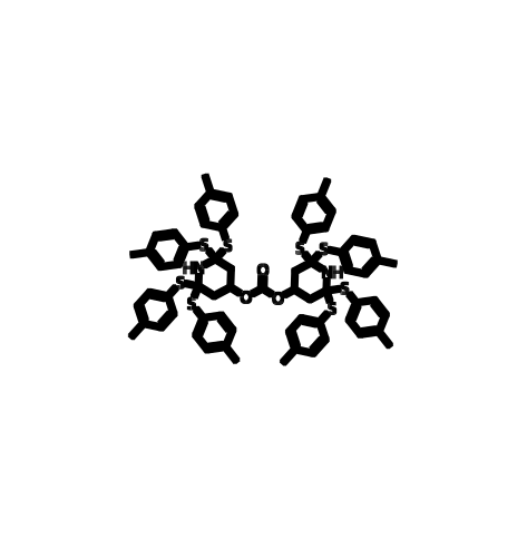 Cc1ccc(SC2(Sc3ccc(C)cc3)CC(OC(=O)OC3CC(Sc4ccc(C)cc4)(Sc4ccc(C)cc4)NC(Sc4ccc(C)cc4)(Sc4ccc(C)cc4)C3)CC(Sc3ccc(C)cc3)(Sc3ccc(C)cc3)N2)cc1